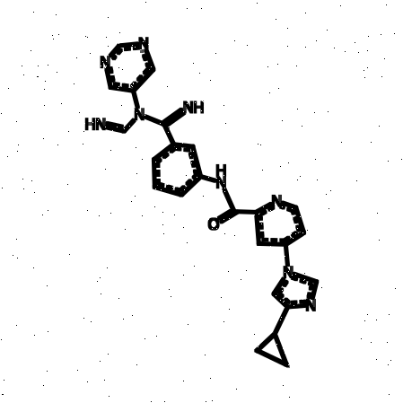 N=CN(C(=N)c1cccc(NC(=O)c2cc(-n3cnc(C4CC4)c3)ccn2)c1)c1cncnc1